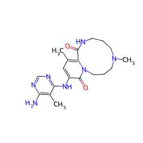 Cc1cc(Nc2ncnc(N)c2C)c(=O)n2c1C(=O)NCCCN(C)CCC2